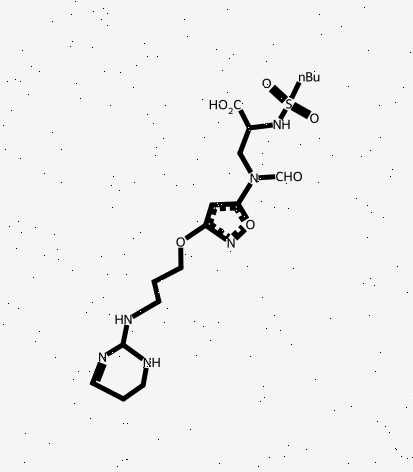 CCCCS(=O)(=O)NC(CN(C=O)c1cc(OCCCNC2N=CCCN2)no1)C(=O)O